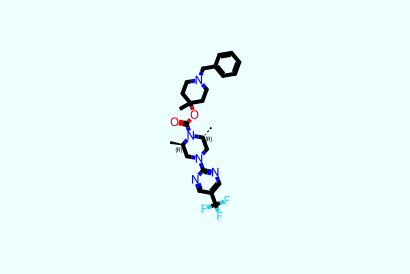 C[C@@H]1CN(c2ncc(C(F)(F)F)cn2)C[C@@H](C)N1C(=O)OC1(C)CCN(Cc2ccccc2)CC1